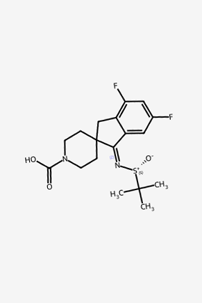 CC(C)(C)[S@@+]([O-])/N=C1\c2cc(F)cc(F)c2CC12CCN(C(=O)O)CC2